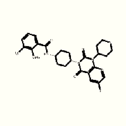 COc1c(C)cccc1C(=O)N[C@H]1CC[C@@H](n2c(=O)c3cc(F)cnc3n(C3CCSCC3)c2=O)CC1